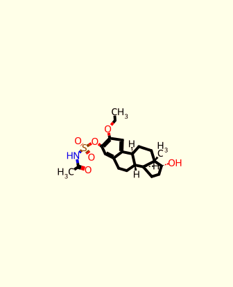 CCOc1cc2c(cc1OS(=O)(=O)NC(C)=O)CC[C@@H]1[C@@H]2CC[C@]2(C)[C@H](O)CC[C@@H]12